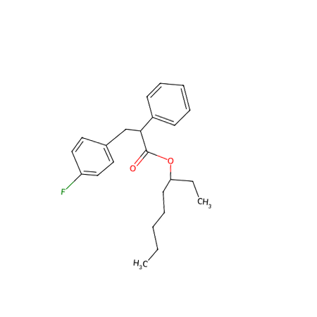 CCCCCC(CC)OC(=O)C(Cc1ccc(F)cc1)c1ccccc1